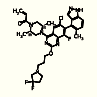 C=CC(=O)N1C[C@H](C)N(c2nc(OCCCN3CCC(F)(F)C3)nc3c(F)c(-c4c(C)ccc5[nH]ncc45)c(Cl)cc23)C[C@H]1C